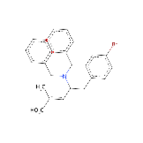 C/C(=C\C(Cc1ccc(Br)cc1)N(Cc1ccccc1)Cc1ccccc1)C(=O)O